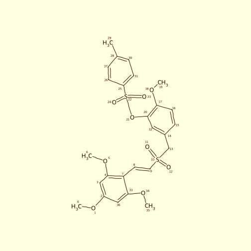 COc1cc(OC)c(/C=C/S(=O)(=O)Cc2ccc(OC)c(OS(=O)(=O)c3ccc(C)cc3)c2)c(OC)c1